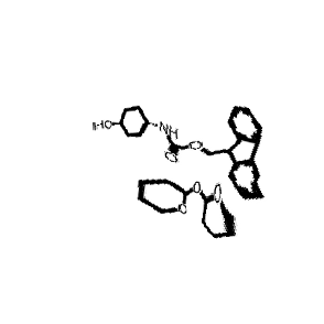 C1CCC(OC2CCCCO2)OC1.O=C(N[C@H]1CC[C@H](O)CC1)OCC1c2ccccc2-c2ccccc21